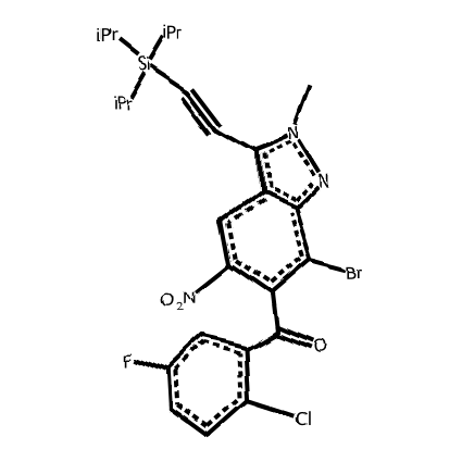 CC(C)[Si](C#Cc1c2cc([N+](=O)[O-])c(C(=O)c3cc(F)ccc3Cl)c(Br)c2nn1C)(C(C)C)C(C)C